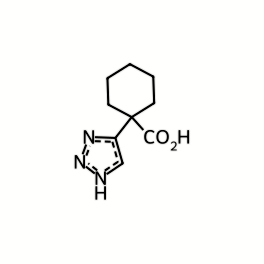 O=C(O)C1(c2c[nH]nn2)CCCCC1